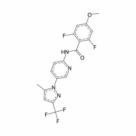 COc1cc(F)c(C(=O)Nc2ccc(-n3nc(C(F)(F)F)cc3C)cn2)c(F)c1